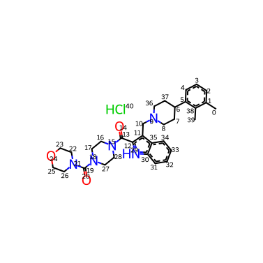 Cc1cccc(C2CCN(Cc3c(C(=O)N4CCN(C(=O)N5CCOCC5)CC4)[nH]c4ccccc34)CC2)c1C.Cl